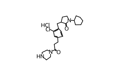 Cl.O=C(CCc1ccc(CC2CCN(C3CCCCC3)C2=O)c(Cl)c1)N1CCNCC1